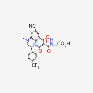 CN1CC(c2ccc(C(F)(F)F)cc2)n2c(=O)c(C(=O)NCC(=O)O)c(O)c3cc(C#N)cc1c32